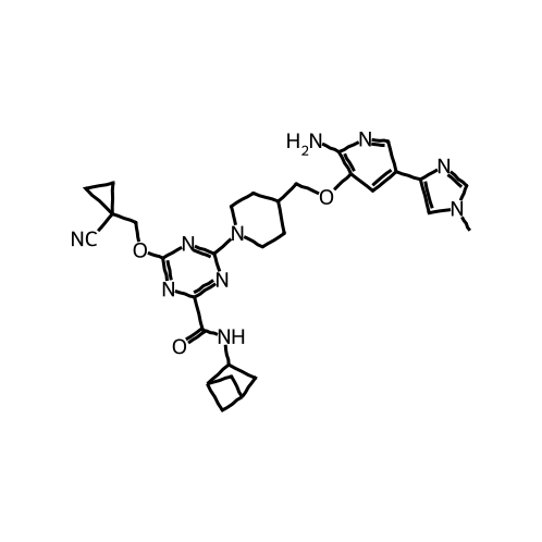 Cn1cnc(-c2cnc(N)c(OCC3CCN(c4nc(OCC5(C#N)CC5)nc(C(=O)NC5CC6CC5C6)n4)CC3)c2)c1